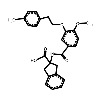 COc1ccc(C(=O)NC2(C(=O)O)Cc3ccccc3C2)cc1OCCc1ccc(C)cc1